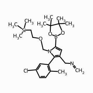 C=NCc1cc(B2OC(C)(C)C(C)(C)O2)n(COCC[Si](C)(C)C)c1-c1cc(Cl)ccc1C